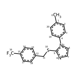 Cc1ccc(-n2ccnc2SCc2ccc(C(F)(F)F)cc2)cc1